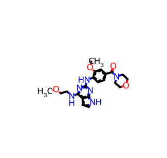 COCCNc1nc(Nc2ccc(C(=O)N3CCOCC3)cc2OC)nc2[nH]ccc12